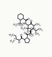 CC[C@@H](C)NC(=O)C1CCCN1C(=O)/C(C)=C/[C@H](C(C)C)N(C)C(=O)C(NC(=O)C1CCCCN1C(C)C)C(C)(C)C